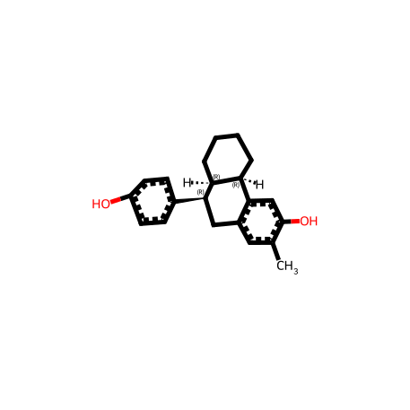 Cc1cc2c(cc1O)[C@@H]1CCCC[C@@H]1[C@H](c1ccc(O)cc1)C2